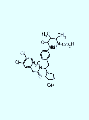 CC(C(=O)Nc1cccc(C[C@@H](N2CC[C@H](O)C2)N(C)C(=O)Cc2ccc(Cl)c(Cl)c2)c1)C(C)N(C(=O)O)C(C)(C)C